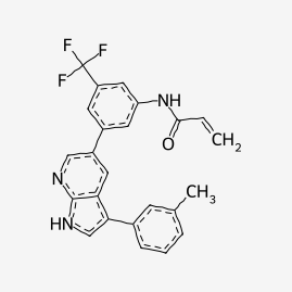 C=CC(=O)Nc1cc(-c2cnc3[nH]cc(-c4cccc(C)c4)c3c2)cc(C(F)(F)F)c1